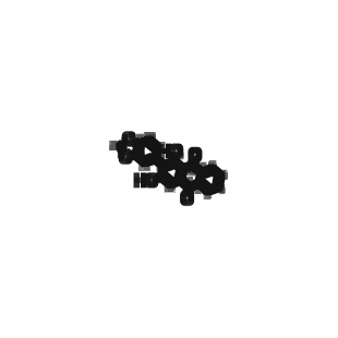 O=C1c2ccccc2C(=O)c2c1cc(O)c(-c1ccc3c(c1)OCO3)c2O